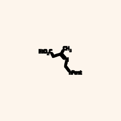 CCCCCCN=C(C)CC(=O)OCC